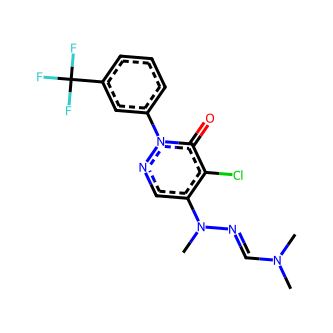 CN(C)C=NN(C)c1cnn(-c2cccc(C(F)(F)F)c2)c(=O)c1Cl